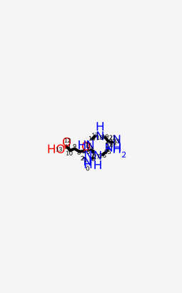 CN(C)C[C@@]1(NC(=O)CCCC(=O)O)CNCCNC[C@@](C)(CN)NCCN1